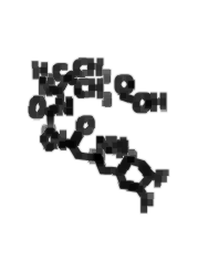 CC(C)(C)c1noc([C@@H]2CCN2C(=O)C[C@H](N)Cc2cc(F)c(F)cc2F)n1.O=CO